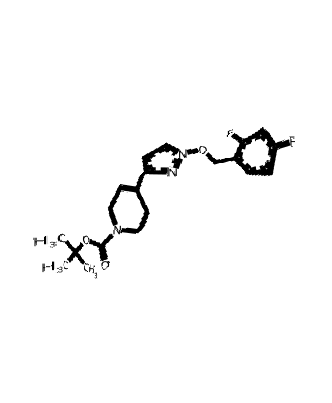 CC(C)(C)OC(=O)N1CCC(c2ccn(OCc3ccc(F)cc3F)n2)CC1